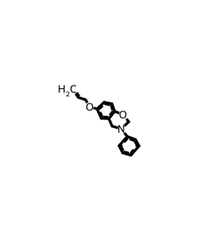 C=CCOc1ccc2c(c1)CN(c1ccccc1)CO2